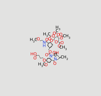 C=C1C[C@H]2C(O)N(C(=O)OCc3ccc(O[C@@H]4O[C@H](C(=O)OC)[C@@H](OC(C)=O)[C@H](OC(C)=O)[C@H]4OC(C)=O)c(C(=O)NCCOC)c3)c3cc(OCCCC(=O)O)c(OC)cc3C(=O)N2C1